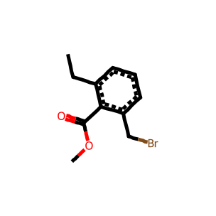 CCc1cccc(CBr)c1C(=O)OC